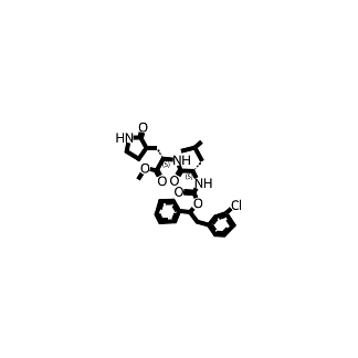 COC(=O)[C@H](CC1CCNC1=O)NC(=O)[C@H](CC(C)C)NC(=O)OC(Cc1cccc(Cl)c1)c1ccccc1